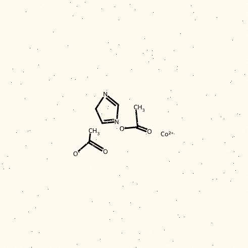 C1=NC=NC1.CC(=O)[O-].CC(=O)[O-].[Co+2]